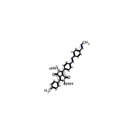 C/C=C/c1ccc(/C=C/c2ccc(C3=C4C(=O)N(CCCCCC)C(c5ccc(C)cc5)=C4C(=O)N3CCCCCC)cc2)cc1